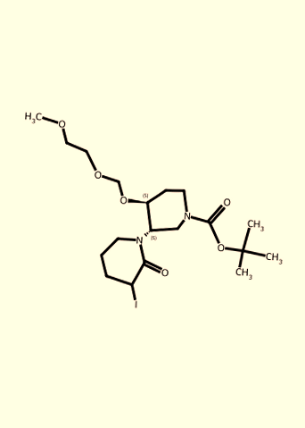 COCCOCO[C@H]1CCN(C(=O)OC(C)(C)C)C[C@@H]1N1CCCC(I)C1=O